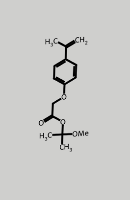 C=C(C)c1ccc(OCC(=O)OC(C)(C)OC)cc1